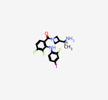 C[C@@H](N)C1CN(C(=O)c2ccc(F)c(F)c2Nc2ccc(I)cc2F)C1